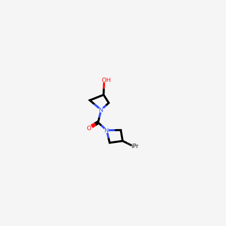 CC(C)C1CN(C(=O)N2CC(O)C2)C1